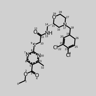 CCOC(=O)c1cnc(SCC(=O)NC[C@H]2CN(CC3C=C(Cl)C(Cl)=CC3)CCO2)nc1C